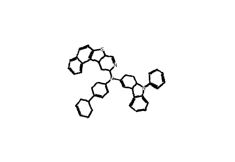 C1=CCC(C2=CCC(N(C3=CC4c5ccccc5N(c5ccccc5)C4CC3)C3CC4c5c(ccc6ccccc56)SC4C=N3)CC2)CC1